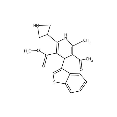 COC(=O)C1=C(C2CNC2)NC(C)=C(C(C)=O)C1c1csc2ccccc12